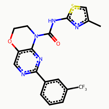 Cc1csc(NC(=O)N2CCOc3cnc(-c4cccc(C(F)(F)F)c4)nc32)n1